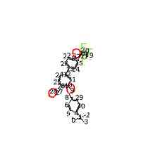 CC(C)(C)c1ccc(COc2cc(-c3ccc(OC(F)(F)F)cc3)ccc2C=O)cc1